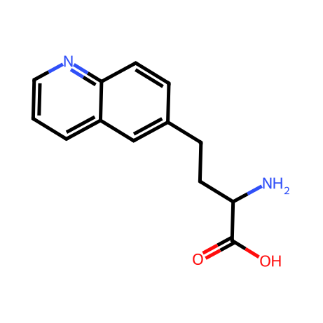 NC(CCc1ccc2ncccc2c1)C(=O)O